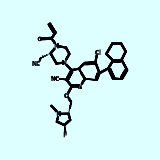 C=CC(=O)N1CCN(C2=C(C#N)C(OC[C@@H]3C[C@@H](F)CN3C)=NC3C=C(c4cccc5c4CCCC5)C(Cl)=CC23)C[C@@H]1CC#N